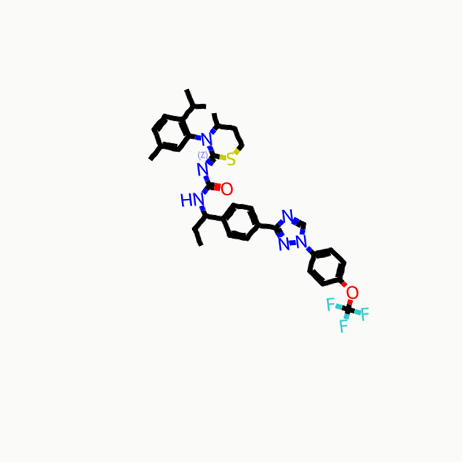 CCC(NC(=O)/N=C1\SCCC(C)N1c1cc(C)ccc1C(C)C)c1ccc(-c2ncn(-c3ccc(OC(F)(F)F)cc3)n2)cc1